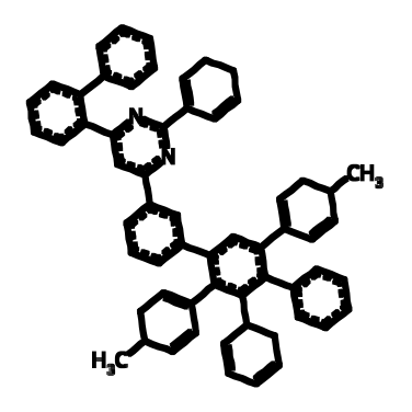 CC1C=CC(c2cc(-c3cccc(-c4cc(-c5ccccc5-c5ccccc5)nc(C5=CCCC=C5)n4)c3)c(C3=CCC(C)C=C3)c(C3C=CC=CC3)c2-c2ccccc2)=CC1